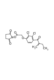 C=C(CC)C(=O)c1ccc(OCC(=O)ON2C(=O)CCC2=O)c(Cl)c1Cl